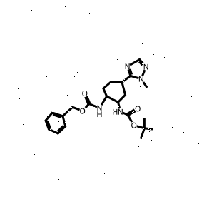 Cn1ncnc1C1CCC(NC(=O)OCc2ccccc2)C(NC(=O)OC(C)(C)C)C1